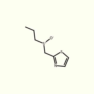 CCC[S+]([O-])Cc1nccs1